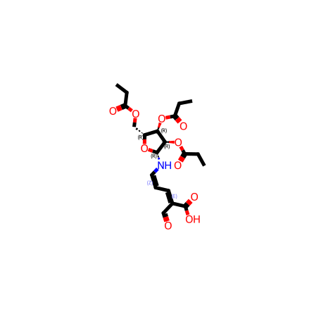 CCC(=O)OC[C@H]1O[C@@H](N/C=C\C=C(/C=O)C(=O)O)[C@H](OC(=O)CC)[C@@H]1OC(=O)CC